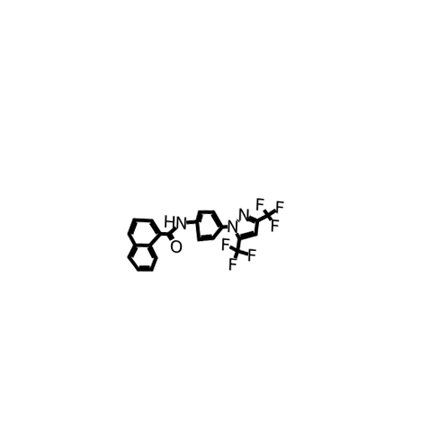 O=C(Nc1ccc(-n2nc(C(F)(F)F)cc2C(F)(F)F)cc1)c1cccc2ccccc12